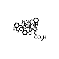 CC(C)(c1cccc(Cl)c1)[C@@H](OC(=O)N[C@@H](CC1CCCCC1)C(=O)NN1CC[C@H](CCC(=O)O)C1=O)c1cccc(F)c1